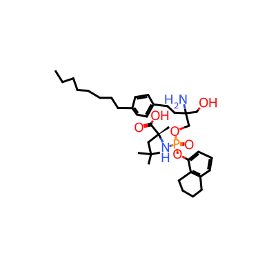 CCCCCCCCc1ccc(CCC(N)(CO)COP(=O)(N[C@](C)(CC(C)(C)C)C(=O)O)Oc2cccc3c2CCCC3)cc1